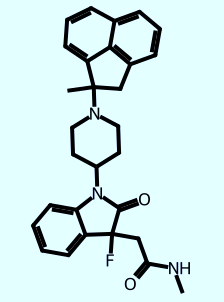 CNC(=O)CC1(F)C(=O)N(C2CCN(C3(C)Cc4cccc5cccc3c45)CC2)c2ccccc21